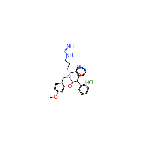 COc1ccc(CN(C(=O)C(c2ccccc2)c2ccccc2)[C@H](CCCNC=N)C(N)=O)cc1.Cl